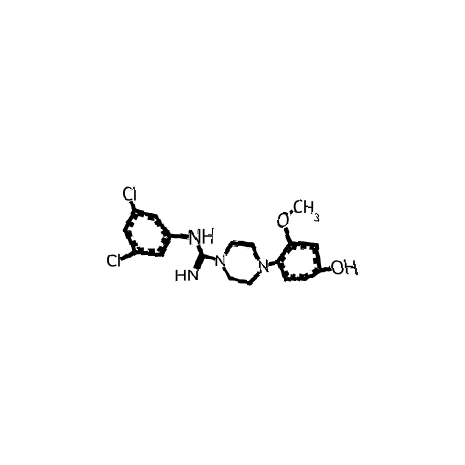 COc1cc(O)ccc1N1CCN(C(=N)Nc2cc(Cl)cc(Cl)c2)CC1